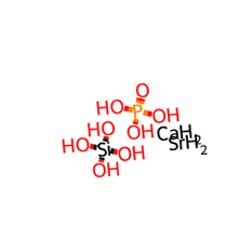 O=P(O)(O)O.O[Si](O)(O)O.[CaH2].[SrH2]